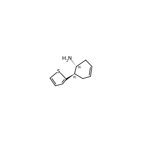 N[C@@H]1CC=CC[C@H]1c1cccs1